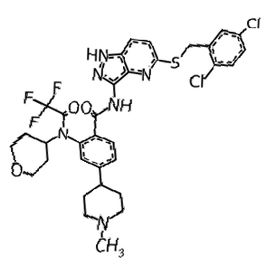 CN1CCC(c2ccc(C(=O)Nc3n[nH]c4ccc(SCc5cc(Cl)ccc5Cl)nc34)c(N(C(=O)C(F)(F)F)C3CCOCC3)c2)CC1